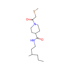 CCCC(C)CCNC(=O)C1CCN(C(=O)CSC)CC1